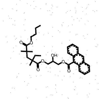 CCCCOC(=O)C(C)(C)CC(C)(CC)C(=O)OCC(O)COC(=O)c1c2ccccc2cc2ccccc12